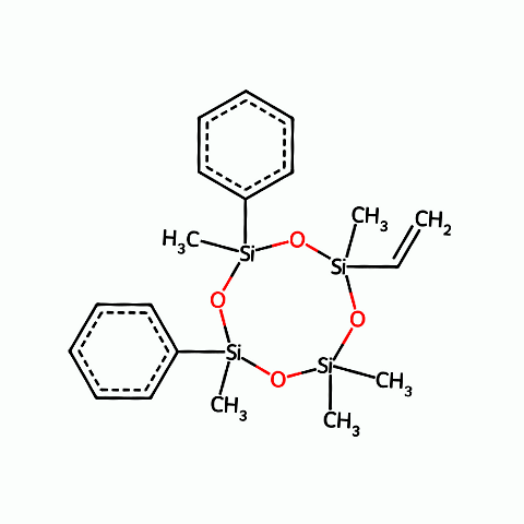 C=C[Si]1(C)O[Si](C)(C)O[Si](C)(c2ccccc2)O[Si](C)(c2ccccc2)O1